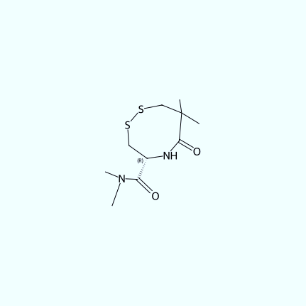 CN(C)C(=O)[C@@H]1CSSCC(C)(C)C(=O)N1